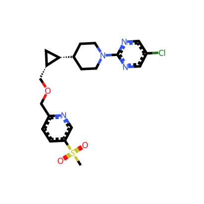 CS(=O)(=O)c1ccc(COC[C@@H]2C[C@@H]2C2CCN(c3ncc(Cl)cn3)CC2)nc1